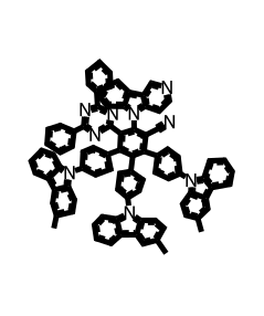 Cc1ccc2c(c1)c1ccccc1n2-c1ccc(-c2c(C#N)c(-n3c4ccccc4c4cnccc43)c(-c3nc(-c4ccccc4)nc(-c4ccccc4)n3)c(-c3ccc(-n4c5ccccc5c5cc(C)ccc54)cc3)c2-c2ccc(-n3c4ccccc4c4cc(C)ccc43)cc2)cc1